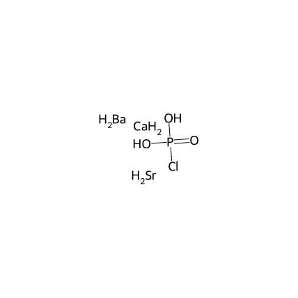 O=P(O)(O)Cl.[BaH2].[CaH2].[SrH2]